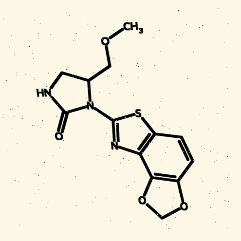 COCC1CNC(=O)N1c1nc2c3c(ccc2s1)OCO3